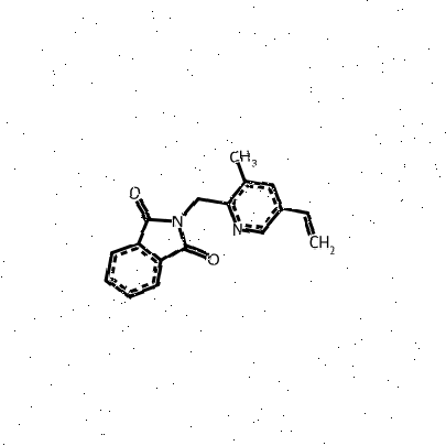 C=Cc1cnc(CN2C(=O)c3ccccc3C2=O)c(C)c1